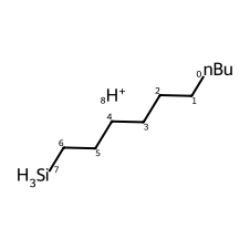 CCCCCCCCCC[SiH3].[H+]